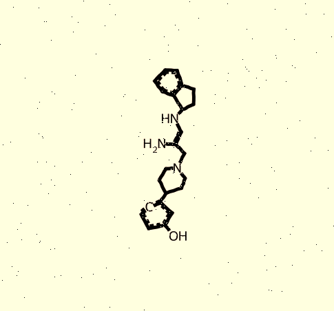 N/C(=C\NC1CCc2ccccc21)CN1CCC(c2cccc(O)c2)CC1